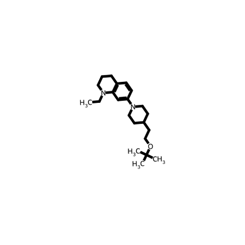 CCN1CCCc2ccc(N3CCC(CCOC(C)(C)C)CC3)cc21